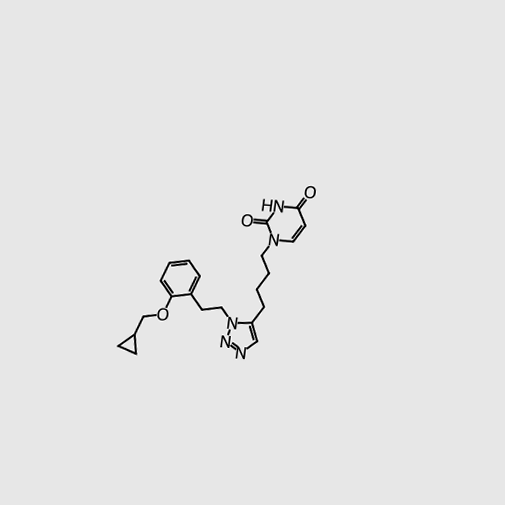 O=c1ccn(CCCCc2cnnn2CCc2ccccc2OCC2CC2)c(=O)[nH]1